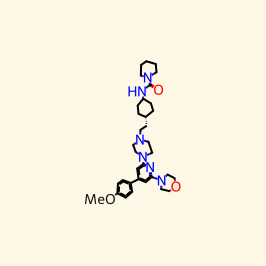 COc1ccc(-c2cc(N3CCOCC3)nc(N3CCN(CC[C@H]4CC[C@H](NC(=O)N5CCCCC5)CC4)CC3)c2)cc1